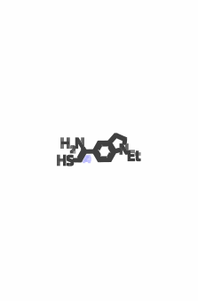 CCN1CCc2cc(/C(N)=C/S)ccc21